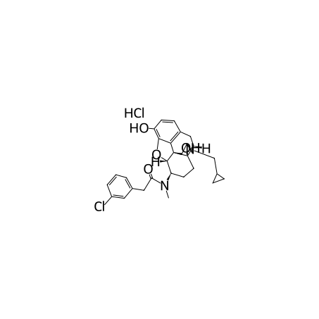 CN(C(=O)Cc1cccc(Cl)c1)[C@@H]1CC[C@@]2(O)[C@H]3Cc4ccc(O)c5c4[C@@]2(CCN3CC2CC2)[C@H]1O5.Cl